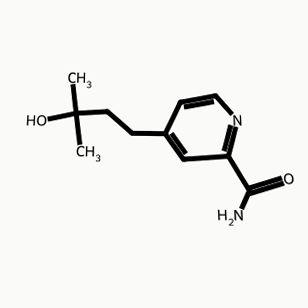 CC(C)(O)CCc1ccnc(C(N)=O)c1